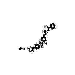 CCCCCc1noc(-c2ccc(S(=O)(=O)Nc3ccc(CCNCC(O)c4cccnc4)cc3)cc2)n1